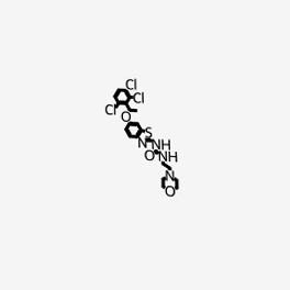 CC(Oc1ccc2nc(NC(=O)NCCN3CCOCC3)sc2c1)c1c(Cl)ccc(Cl)c1Cl